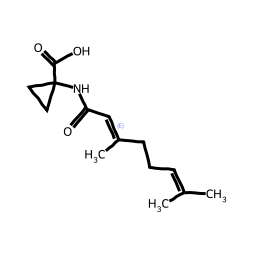 CC(C)=CCC/C(C)=C/C(=O)NC1(C(=O)O)CC1